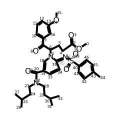 COC(=O)CCC(C(=O)c1cccc(OC)c1)n1cc(C(=O)N(CCC(C)C)CCC(C)C)cc/c1=N\S(=O)(=O)c1ccc(C)cc1